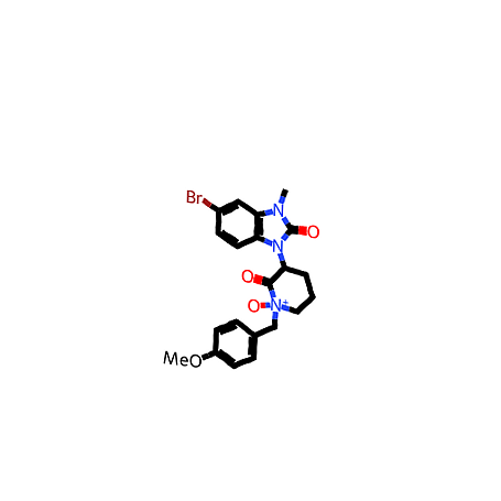 COc1ccc(C[N+]2([O-])CCCC(n3c(=O)n(C)c4cc(Br)ccc43)C2=O)cc1